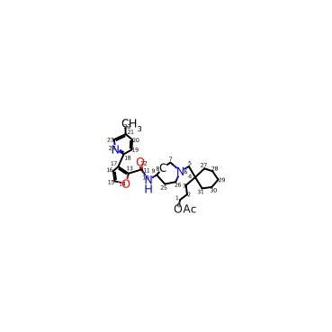 CC(=O)OCCCC1(CN2CCC(NC(=O)c3occc3-c3ccc(C)cn3)CC2)CCCCC1